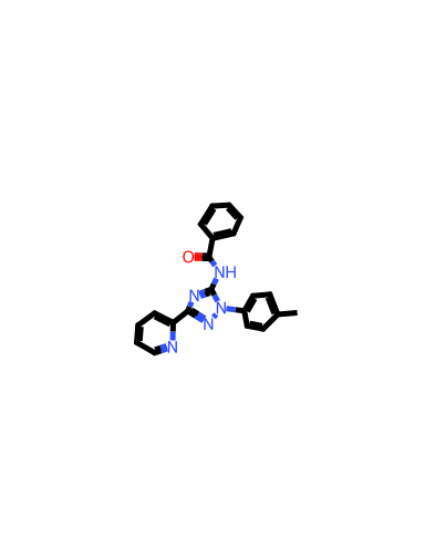 Cc1ccc(-n2nc(-c3ccccn3)nc2NC(=O)c2ccccc2)cc1